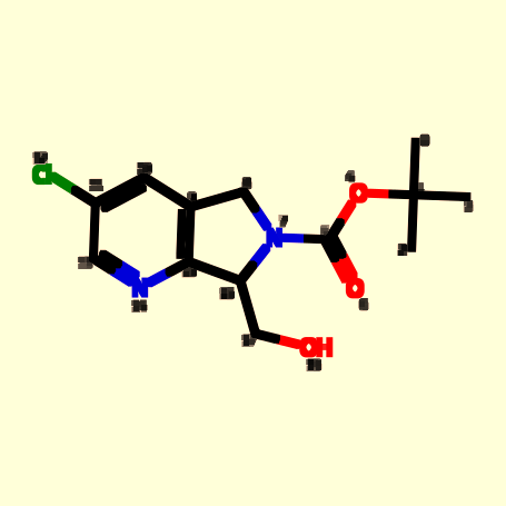 CC(C)(C)OC(=O)N1Cc2cc(Cl)cnc2C1CO